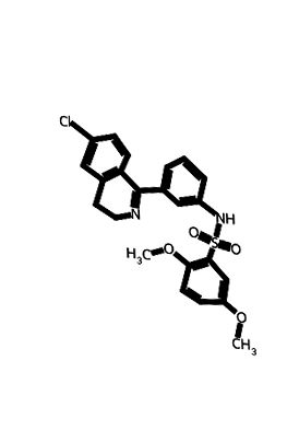 COc1ccc(OC)c(S(=O)(=O)Nc2cccc(C3=NCCc4cc(Cl)ccc43)c2)c1